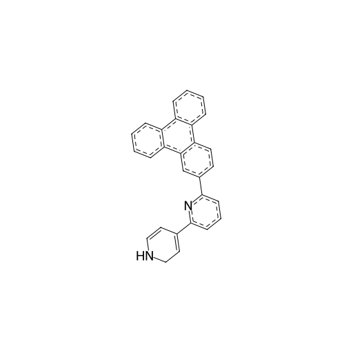 C1=CC(c2cccc(-c3ccc4c5ccccc5c5ccccc5c4c3)n2)=CCN1